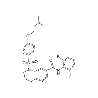 CN(C)CCOc1ccc(S(=O)(=O)N2CCCc3ccc(C(=O)Nc4c(F)cccc4F)cc32)cc1